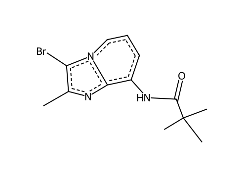 Cc1nc2c(NC(=O)C(C)(C)C)cccn2c1Br